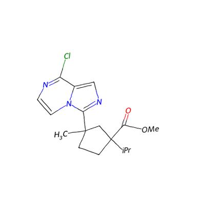 COC(=O)C1(C(C)C)CCC(C)(c2ncc3c(Cl)nccn23)C1